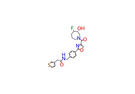 O=C(Cc1ccsc1)NCc1ccc(-c2nc(C(=O)N3CCC[C@@H](F)[C@H](O)C3)co2)cc1